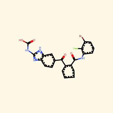 O=C(O)Nc1nc2ccc(C(=O)c3ccccc3C(=O)Nc3cccc(Br)c3F)cc2[nH]1